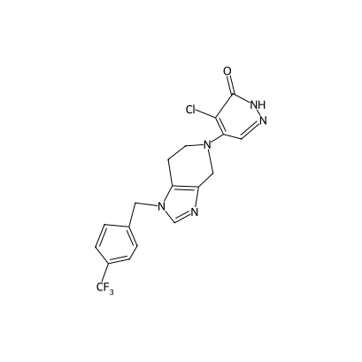 O=c1[nH]ncc(N2CCc3c(ncn3Cc3ccc(C(F)(F)F)cc3)C2)c1Cl